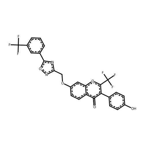 O=c1c(-c2ccc(O)cc2)c(C(F)(F)F)oc2cc(OCc3noc(-c4cccc(C(F)(F)F)c4)n3)ccc12